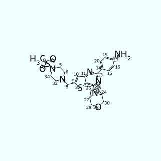 CS(=O)(=O)N1CCN(Cc2cc3nc(-c4ccc(N)cc4)nc(N4C5CCC4COC5)c3s2)CC1